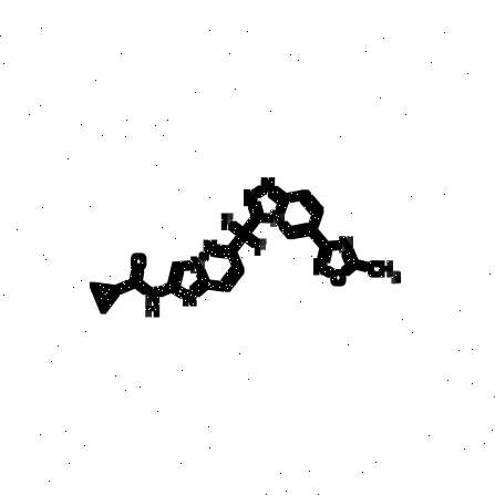 Cc1nc(-c2ccc3nnc(C(F)(F)c4ccc5nc(NC(=O)C6CC6)cn5n4)n3c2)no1